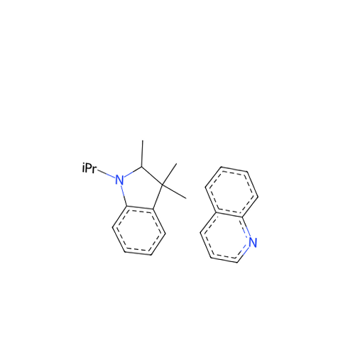 CC(C)N1c2ccccc2C(C)(C)C1C.c1ccc2ncccc2c1